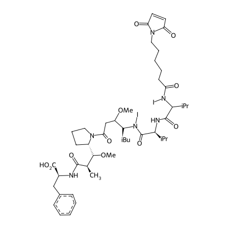 CC[C@H](C)C(C(CC(=O)N1CCC[C@H]1C(OC)[C@@H](C)C(=O)N[C@@H](Cc1ccccc1)C(=O)O)OC)N(I)C(=O)[C@@H](NC(=O)C(C(C)C)N(I)C(=O)CCCCCN1C(=O)C=CC1=O)C(C)C